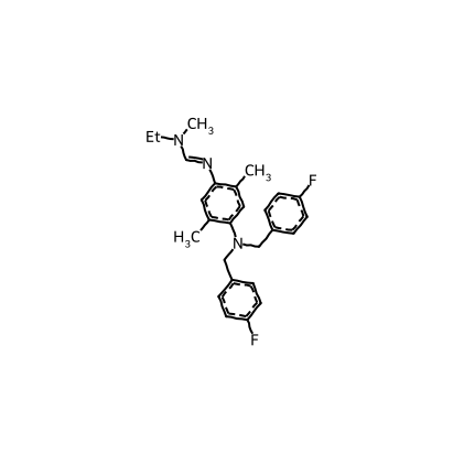 CCN(C)C=Nc1cc(C)c(N(Cc2ccc(F)cc2)Cc2ccc(F)cc2)cc1C